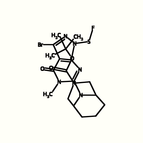 Cn1c(N2C3CCCC2CN(C(=O)OC(C)(C)C)C3)nc2c(c(Br)nn2SF)c1=O